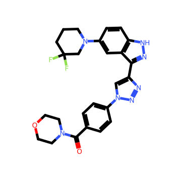 O=C(c1ccc(-n2cc(-c3n[nH]c4ccc(N5CCCC(F)(F)C5)cc34)nn2)cc1)N1CCOCC1